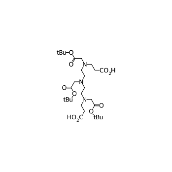 CC(C)(C)OC(=O)CN(CCC(=O)O)CCN(CCN(CCC(=O)O)CC(=O)OC(C)(C)C)CC(=O)OC(C)(C)C